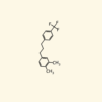 Cc1ccc([CH]CCc2ccc(C(F)(F)F)cc2)cc1C